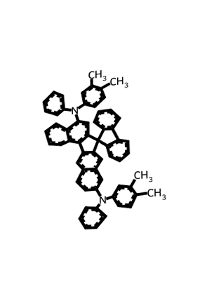 Cc1ccc(N(c2ccccc2)c2ccc3cc4c(cc3c2)C2(c3ccccc3-c3ccccc32)c2cc(N(c3ccccc3)c3ccc(C)c(C)c3)c3ccccc3c2-4)cc1C